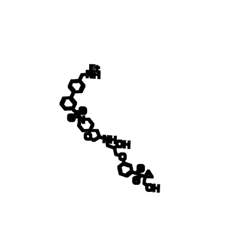 CCNCc1ccc(-c2cccc(S(=O)(=O)N3CCC4(CC3)CC(NCC(O)COc3cccc(S(=O)(=O)C5(CO)CC5)c3)CO4)c2)cc1